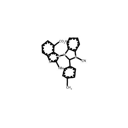 CCCCc1nc2cccc(C(=O)O)c2n1N1c2ccccc2N(C#N)C1c1ccc(C)cc1